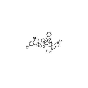 CC(=O)N1CCC(CN(C)C(=O)C[C@@H](NS(=O)(=O)Cc2ccccc2)C(=O)N2CCC[C@H]2C(=O)NCc2cc(Cl)ccc2CN)CC1